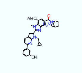 COc1cc(C(=O)N2CC3CCC2C3N)cc2nc(-c3cc4ccc(-c5cccc(C#N)c5)nc4n3CC3CC3)n(C)c12